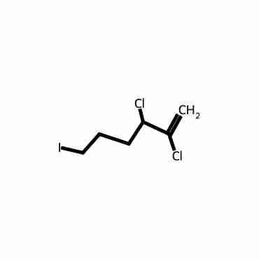 C=C(Cl)C(Cl)CCCI